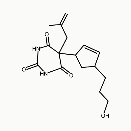 C=C(C)CC1(C2C=CC(CCCO)C2)C(=O)NC(=O)NC1=O